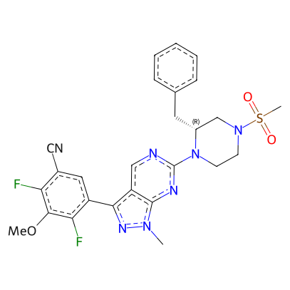 COc1c(F)c(C#N)cc(-c2nn(C)c3nc(N4CCN(S(C)(=O)=O)C[C@H]4Cc4ccccc4)ncc23)c1F